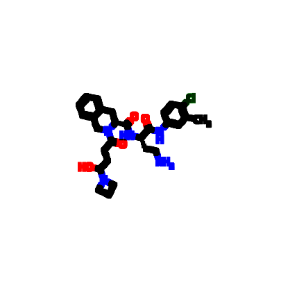 Cc1cc(NC(=O)[C@H](CCN)NC(=O)[C@@H]2Cc3ccccc3CN2C(=O)CCC(O)N2CCC2)ccc1Cl